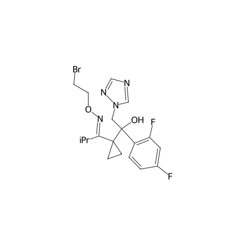 CC(C)C(=NOCCBr)C1(C(O)(Cn2cncn2)c2ccc(F)cc2F)CC1